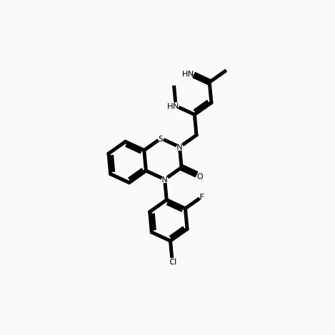 CN/C(=C\C(C)=N)CN1Sc2ccccc2N(c2ccc(Cl)cc2F)C1=O